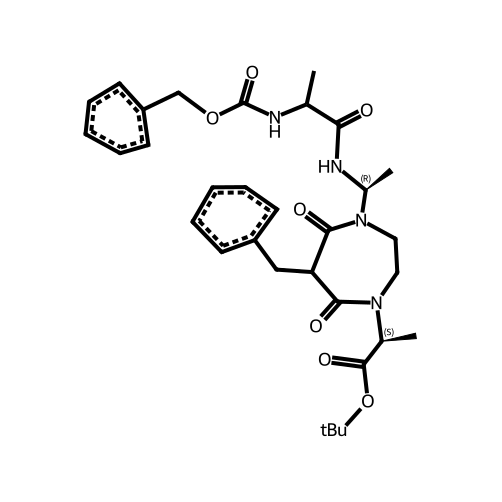 CC(NC(=O)OCc1ccccc1)C(=O)N[C@@H](C)N1CCN([C@@H](C)C(=O)OC(C)(C)C)C(=O)C(Cc2ccccc2)C1=O